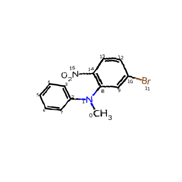 CN(c1ccccc1)c1cc(Br)ccc1[N+](=O)[O-]